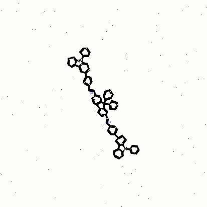 C(=C\c1ccc2c(c1)C(c1ccccc1)(c1ccccc1)c1cc(/C=C/c3ccc(-c4ccc5c(c4)c4ccccc4n5-c4ccccc4)cc3)ccc1-2)/c1ccc(-c2ccc3c(c2)c2ccccc2n3-c2ccccc2)cc1